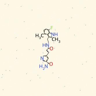 Cc1[nH]c2c(F)ccc(C)c2c1CCNC(=O)/C=C/c1cncc(C(N)=O)c1